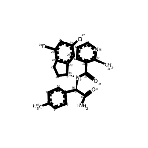 Cc1ccc([C@H](C(N)=O)N(C(=O)c2cccnc2C)[C@@H]2CCc3c(F)cc(Cl)cc32)cc1